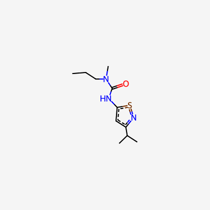 CCCN(C)C(=O)Nc1cc(C(C)C)ns1